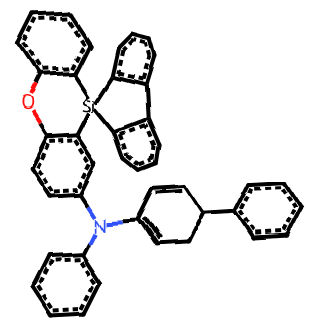 C1=CC(c2ccccc2)CC=C1N(c1ccccc1)c1ccc2c(c1)[Si]1(c3ccccc3O2)c2ccccc2-c2ccccc21